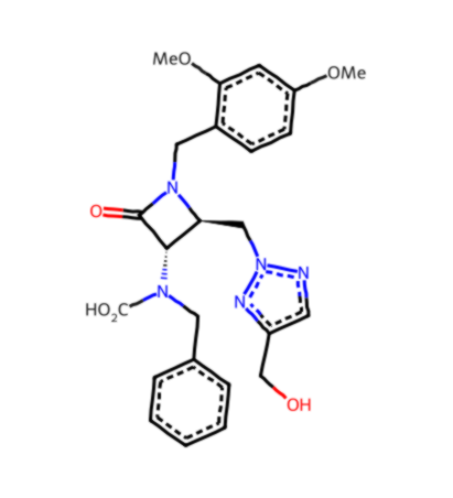 COc1ccc(CN2C(=O)[C@@H](N(Cc3ccccc3)C(=O)O)[C@@H]2Cn2ncc(CO)n2)c(OC)c1